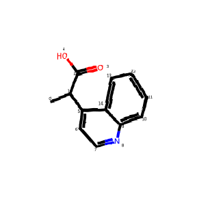 CC(C(=O)O)c1ccnc2ccccc12